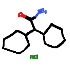 Cl.NC(=O)C(C1CCCCC1)C1CCCCC1